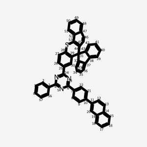 c1ccc(-c2nc(-c3ccc(-c4ccc5ccccc5c4)cc3)nc(-c3ccc4c(c3)C3(c5ccccc5-c5ccccc53)c3ccc5ccccc5c3S4)n2)cc1